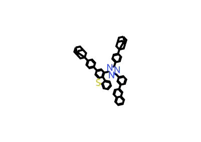 c1cc(-c2ccc3ccccc3c2)cc(-c2nc(-c3ccc(C45CC6CC(CC(C6)C4)C5)cc3)nc(-c3cc(-c4ccc(C56CC7CC(CC(C7)C5)C6)cc4)cc4sc5ccccc5c34)n2)c1